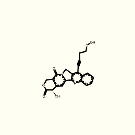 O=C1OCc2c(cc3n(c2=O)Cc2c-3nc3ccccc3c2C#CCCOO)[C@@H]1O